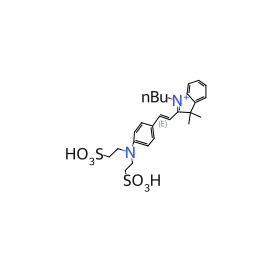 CCCC[N+]1=C(/C=C/c2ccc(N(CCS(=O)(=O)O)CCS(=O)(=O)O)cc2)C(C)(C)c2ccccc21